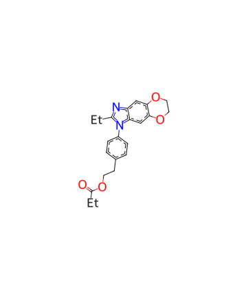 CCC(=O)OCCc1ccc(-n2c(CC)nc3cc4c(cc32)OCCO4)cc1